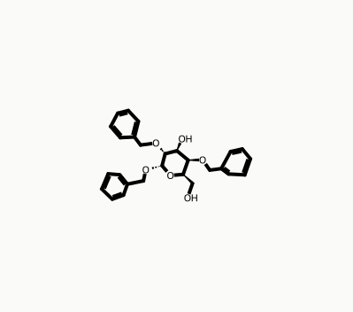 OC[C@H]1O[C@H](OCc2ccccc2)[C@H](OCc2ccccc2)[C@@H](O)[C@H]1OCc1ccccc1